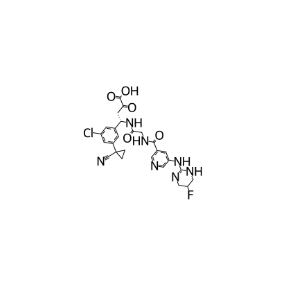 N#CC1(c2cc(Cl)cc([C@H](CC(=O)C(=O)O)NC(=O)CNC(=O)c3cncc(NC4=NCC(F)CN4)c3)c2)CC1